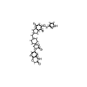 O=C1COc2ncc(N3CC4(CCN(CC5Cc6c(F)cc(OCc7cc[nH]n7)c(F)c6C5)CC4)OC3=O)nc2N1